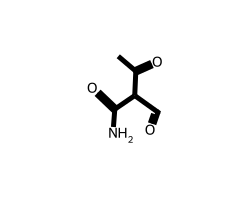 CC(=O)C(C=O)C(N)=O